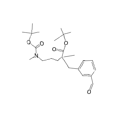 CN(CCCC(C)(Cc1cccc(C=O)c1)C(=O)OC(C)(C)C)C(=O)OC(C)(C)C